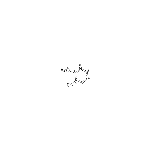 CC(=O)Oc1n[c]ccc1Cl